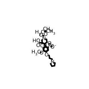 COc1cc(C2CCN(C(=O)OC(C)(C)C)CC2(C)C(=O)O)c([N+](=O)[O-])cc1OCCCN1CCCC1